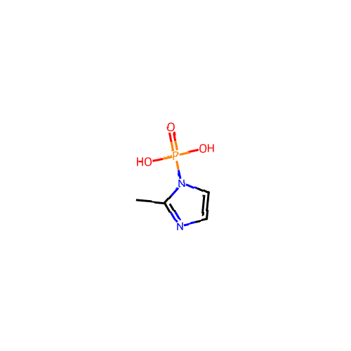 Cc1nccn1P(=O)(O)O